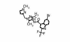 Cc1nn(Cc2ccn(C)n2)c(C)c1NC(=O)c1cc(C(F)(F)F)nc2ccc(Br)cc12